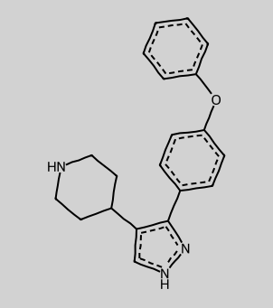 c1ccc(Oc2ccc(-c3n[nH]cc3C3CCNCC3)cc2)cc1